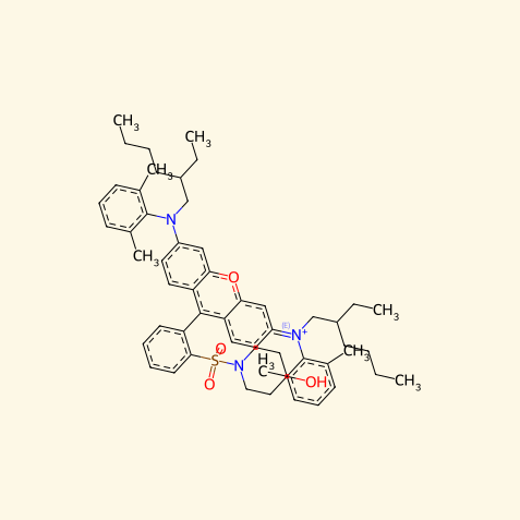 CCCCC(CC)CN(c1ccc2c(-c3ccccc3S(=O)(=O)N3CCC(O)CC3)c3cc/c(=[N+](/CC(CC)CCCC)c4c(C)cccc4C)cc-3oc2c1)c1c(C)cccc1C